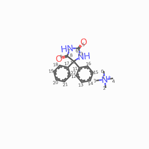 C[N+](C)(C)C.O=C1NC(=O)C(c2ccccc2)(c2ccccc2)N1